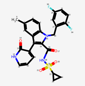 Cc1ccc2c(c1)c(-c1ccc[nH]c1=O)c(C(=O)NS(=O)(=O)C1CC1)n2Cc1cc(F)ccc1F